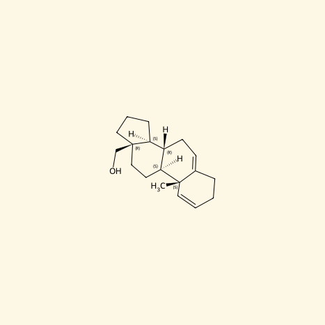 C[C@]12C=CCCC1=CC[C@H]1[C@@H]3CCC[C@@]3(CO)CC[C@@H]12